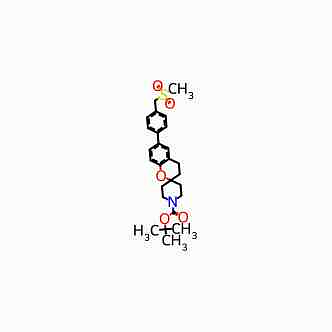 CC(C)(C)OC(=O)N1CCC2(CCc3cc(-c4ccc(CS(C)(=O)=O)cc4)ccc3O2)CC1